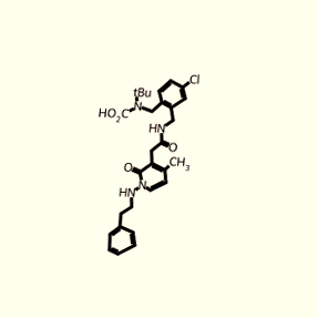 Cc1ccn(NCCc2ccccc2)c(=O)c1CC(=O)NCc1cc(Cl)ccc1CN(C(=O)O)C(C)(C)C